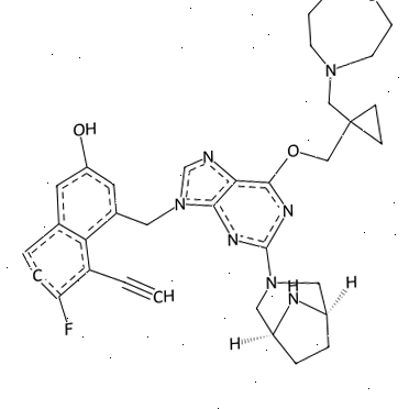 C#Cc1c(F)ccc2cc(O)cc(Cn3cnc4c(OCC5(CN6CCCOCC6)CC5)nc(N5C[C@H]6CC[C@@H](C5)N6)nc43)c12